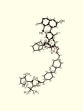 C#Cc1c(F)ccc2cc(O)cc(-c3ncc4c(N5CC6CCC(C5)N6C(=O)OC(C)(C)C)nc(OCCN5CCC(CC6(F)CCN(CC(=O)NC(C(=O)N7CCCC7C)C(C)(C)C)CC6)CC5)nc4c3F)c12